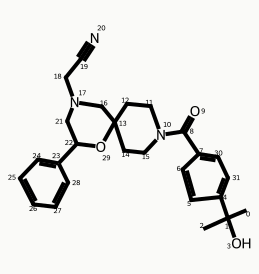 CC(C)(O)c1ccc(C(=O)N2CCC3(CC2)CN(CC#N)CC(c2ccccc2)O3)cc1